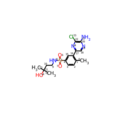 Cc1ccc(S(=O)(=O)NCCC(C)(C)O)cc1-c1cnc(N)c(Cl)n1